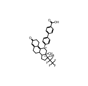 C[C@]12C[C@H](c3ccc(-c4ccc(C(=O)O)cc4)cc3)C3=C4CCC(=O)C=C4CCC3C1CC[C@@]2(O)C(F)(F)C(F)(F)F